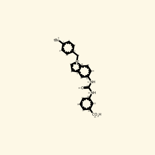 CC(C)(C)c1ccc(Cn2ccc3cc(NC(=O)Nc4cccc(C(=O)O)c4)ccc32)cc1